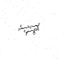 FC(F)=CCCSSCCC=C(F)F.O=S(O)CCC=C(F)F